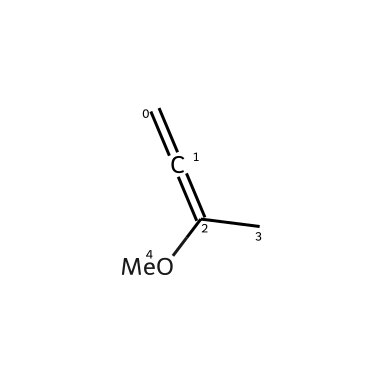 C=C=C(C)OC